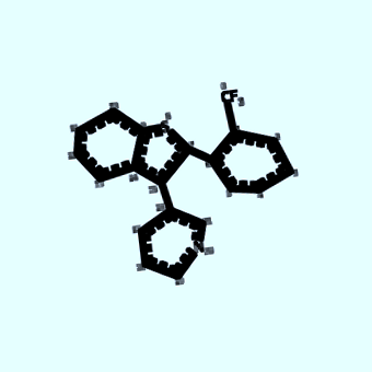 FC(F)(F)c1ccccc1-c1sc2ccccc2c1-c1cccnc1